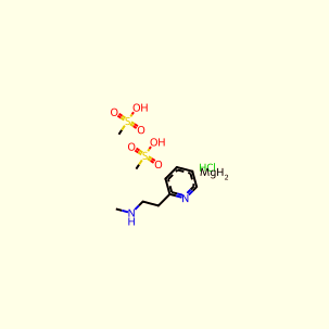 CNCCc1ccccn1.CS(=O)(=O)O.CS(=O)(=O)O.Cl.[MgH2]